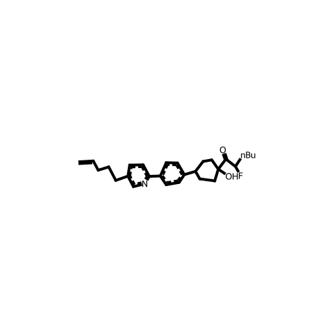 C=CCCCc1ccc(-c2ccc(C3CCC(O)(C(=O)C(F)CCCC)CC3)cc2)nc1